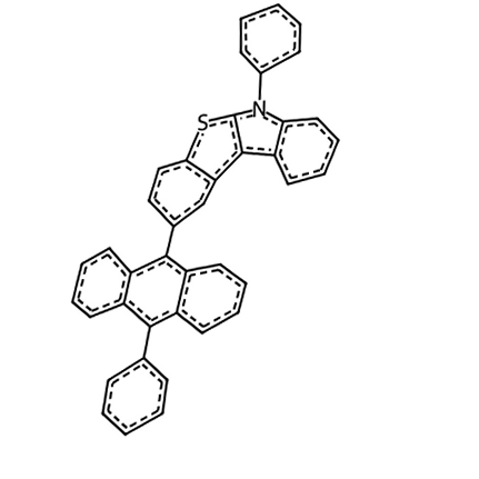 c1ccc(-c2c3ccccc3c(-c3ccc4sc5c(c4c3)c3ccccc3n5-c3ccccc3)c3ccccc23)cc1